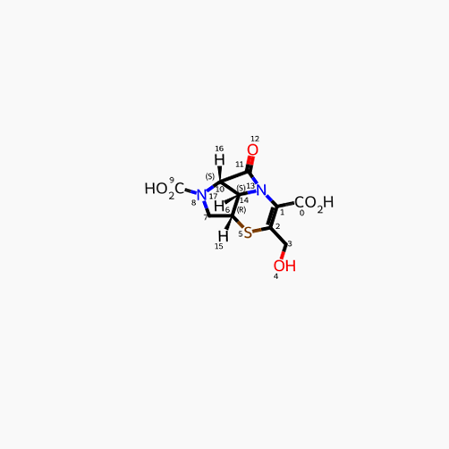 O=C(O)C1=C(CO)S[C@@H]2CN(C(=O)O)[C@@H]3C(=O)N1[C@@H]32